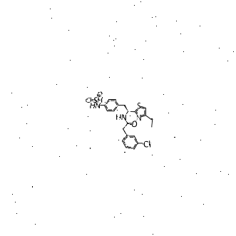 CCc1csc([C@H](Cc2ccc(N[SH](=O)=O)cc2)NC(=O)Cc2cccc(Cl)c2)n1